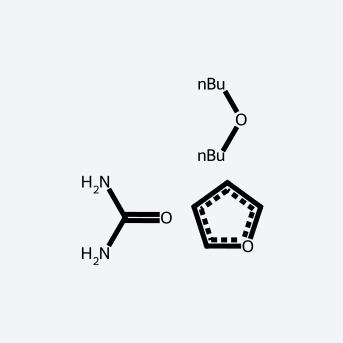 CCCCOCCCC.NC(N)=O.c1ccoc1